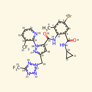 Cc1cc(Br)cc(C(=O)NC2CC2)c1NC(=O)c1cc(Cn2nnc(C(F)(F)F)n2)nn1-c1ncccc1C(F)(F)F